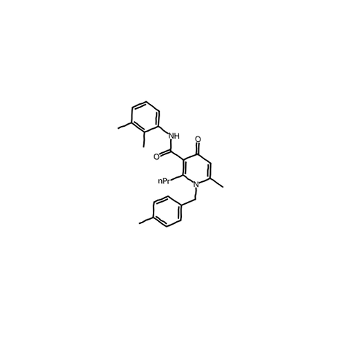 CCCc1c(C(=O)Nc2cccc(C)c2C)c(=O)cc(C)n1Cc1ccc(C)cc1